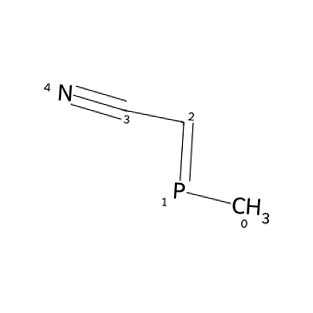 CP=CC#N